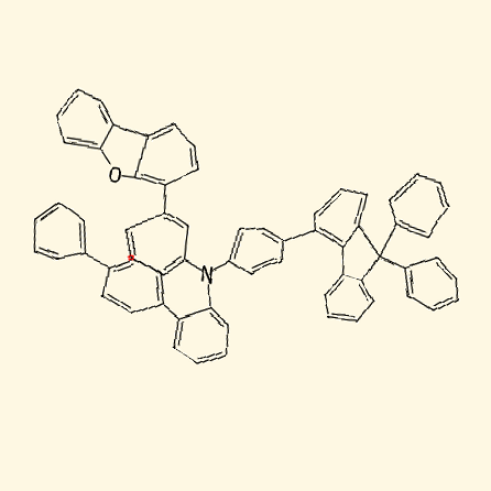 c1ccc(-c2ccc(-c3ccccc3N(c3ccc(-c4cccc5c4-c4ccccc4C5(c4ccccc4)c4ccccc4)cc3)c3cccc(-c4cccc5c4oc4ccccc45)c3)cc2)cc1